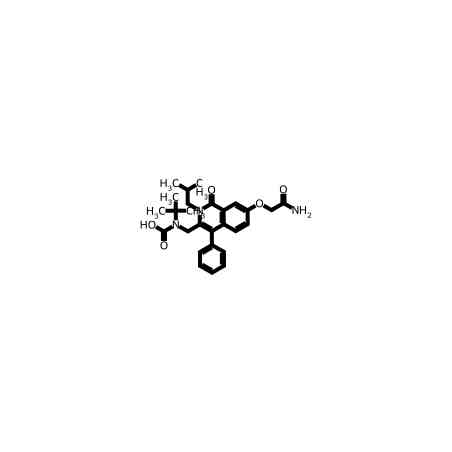 CC(C)Cn1c(CN(C(=O)O)C(C)(C)C)c(-c2ccccc2)c2ccc(OCC(N)=O)cc2c1=O